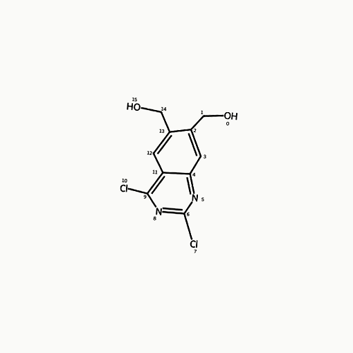 OCc1cc2nc(Cl)nc(Cl)c2cc1CO